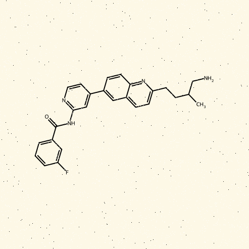 CC(CN)CCc1ccc2cc(-c3ccnc(NC(=O)c4cccc(F)c4)c3)ccc2n1